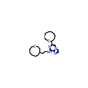 c1cn2cc(C3CCCCCCCCC3)nc(NCCC3CCCCCCCCC3)c2n1